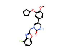 COc1ccc(C2=CN(Cc3nc4c(F)cccc4o3)C(=O)NC2)cc1OC1CCCC1